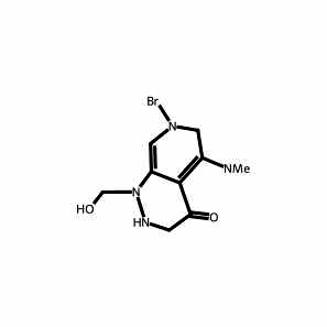 CNC1=C2C(=O)CNN(CO)C2=CN(Br)C1